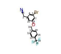 N#CCc1cc(Br)cc(OCc2ccc(C(F)(F)F)cc2)c1